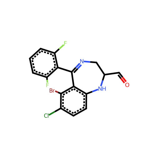 O=CC1CN=C(c2c(F)cccc2F)c2c(ccc(Cl)c2Br)N1